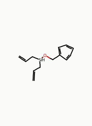 C=CC[SiH](CC=C)OCc1ccccc1